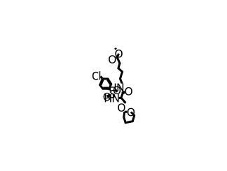 COC(=O)CCCCCNC(=O)C(COC1CCCCO1)NS(=O)(=O)c1ccc(Cl)cc1